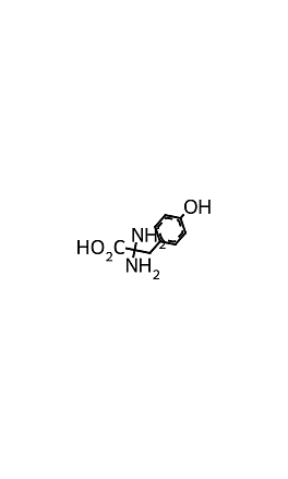 NC(N)(Cc1ccc(O)cc1)C(=O)O